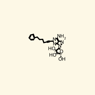 Nc1nc(C#CCCCCc2ccccc2)nc2c1ncn2[C@@H]1O[C@H](CO)[C@@H](O)[C@H]1O